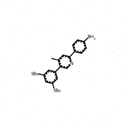 Bc1ccc(-c2cc(C)c(-c3cc(C(C)(C)C)cc(C(C)(C)C)c3)cn2)cc1